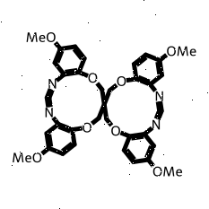 COc1ccc2c(c1)N=C=Nc1cc(OC)ccc1OCC1(CO2)COc2ccc(OC)cc2N=C=Nc2cc(OC)ccc2OC1